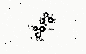 COc1cc(N2CCC(C)(OC)CC2)c(-c2cnn(C)c2)cc1Nc1cc(N2OCC[C@@H]2c2cccc(F)c2F)ncn1